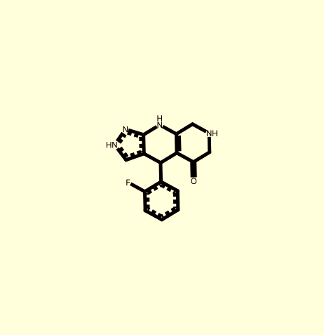 O=C1CNCC2=C1C(c1ccccc1F)c1c[nH]nc1N2